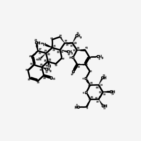 CC1=C(CO[C@@H]2O[C@H](CO)[C@@H](O)[C@H](O)[C@H]2O)C(=O)O[C@@H]([C@@H](C)[C@H]2CC[C@H]3[C@@H]4[C@H](O)C=C5CC=CC(=O)[C@]5(C)[C@H]4CC[C@]23C)C1